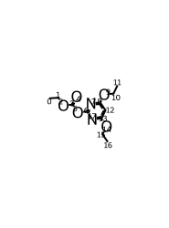 CCOC(=O)Oc1nc(OCC)cc(OCC)n1